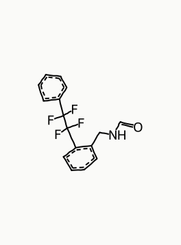 O=CNCc1ccccc1C(F)(F)C(F)(F)c1ccccc1